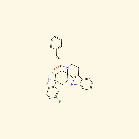 CN(C)C1(c2cccc(F)c2)CCC2(CC1F)c1[nH]c3ccccc3c1CCN2C(=O)C=Cc1ccccc1